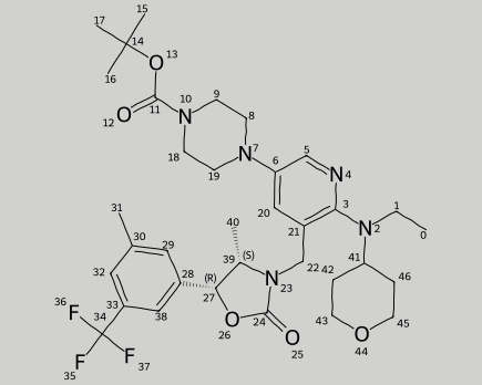 CCN(c1ncc(N2CCN(C(=O)OC(C)(C)C)CC2)cc1CN1C(=O)O[C@H](c2cc(C)cc(C(F)(F)F)c2)[C@@H]1C)C1CCOCC1